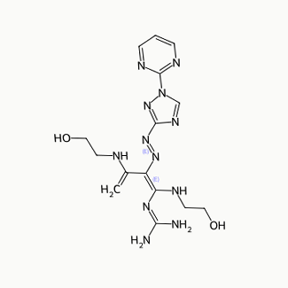 C=C(NCCO)C(/N=N/c1ncn(-c2ncccn2)n1)=C(\N=C(N)N)NCCO